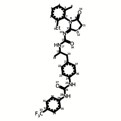 CCc1cccc(C)c1N1C(=O)CS/C1=N\C(=O)NC(C)Cc1ccc(NC(=O)Nc2ccc(C(F)(F)F)cc2)cc1